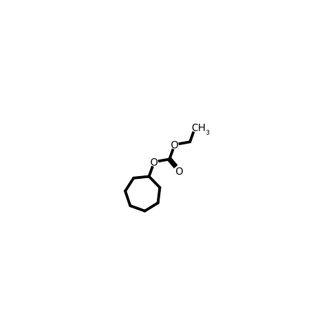 CCOC(=O)OC1CCCCCC1